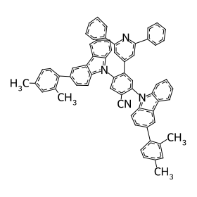 Cc1ccc(-c2ccc3c(c2)c2ccccc2n3-c2cc(-c3cc(-c4ccccc4)nc(-c4ccccc4)c3)c(-n3c4ccccc4c4cc(-c5ccc(C)cc5C)ccc43)cc2C#N)c(C)c1